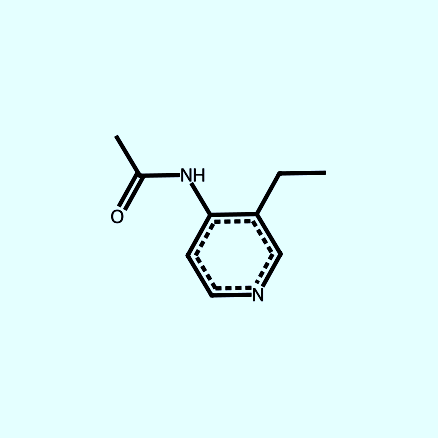 CCc1cnccc1NC(C)=O